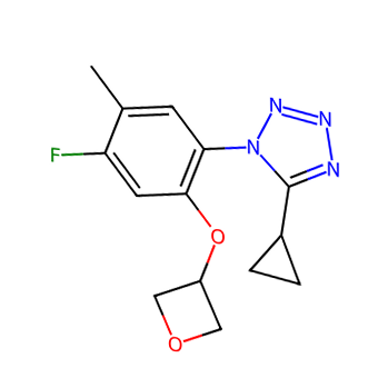 Cc1cc(-n2nnnc2C2CC2)c(OC2COC2)cc1F